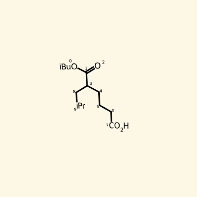 CC(C)COC(=O)C(CCCC(=O)O)CC(C)C